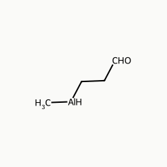 [CH3][AlH][CH2]CC=O